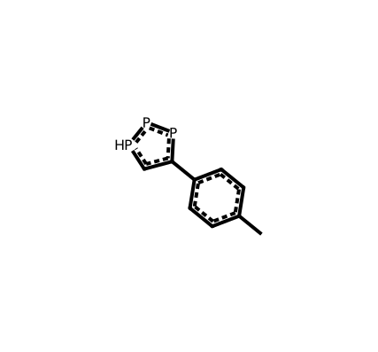 Cc1ccc(-c2c[pH]pp2)cc1